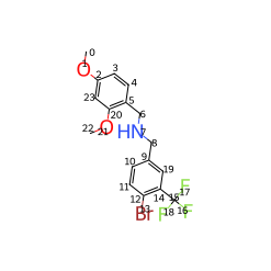 COc1ccc(CNCc2ccc(Br)c(C(F)(F)F)c2)c(OC)c1